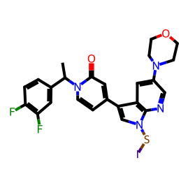 CC(c1ccc(F)c(F)c1)n1ccc(-c2cn(SI)c3ncc(N4CCOCC4)cc23)cc1=O